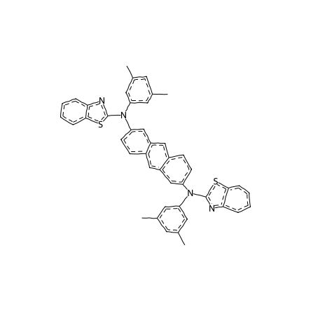 Cc1cc(C)cc(N(c2ccc3cc4cc(N(c5cc(C)cc(C)c5)c5nc6ccccc6s5)ccc4cc3c2)c2nc3ccccc3s2)c1